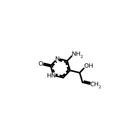 C=CC(O)c1c[nH]c(=O)nc1N